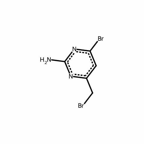 Nc1nc(Br)cc(CBr)n1